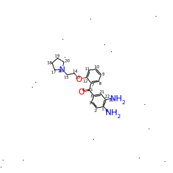 Nc1ccc(C(=O)c2ccccc2OCCN2CCCC2)cc1N